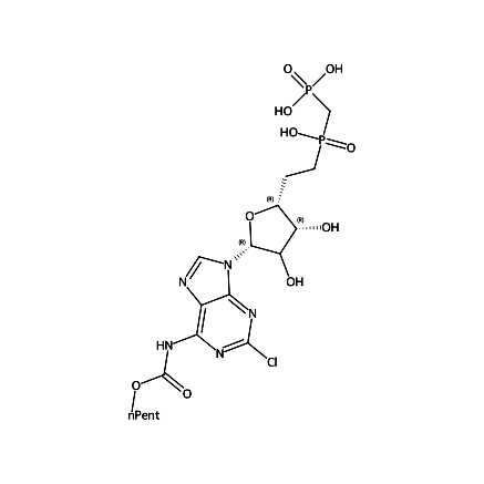 CCCCCOC(=O)Nc1nc(Cl)nc2c1ncn2[C@@H]1O[C@H](CCP(=O)(O)CP(=O)(O)O)[C@H](O)C1O